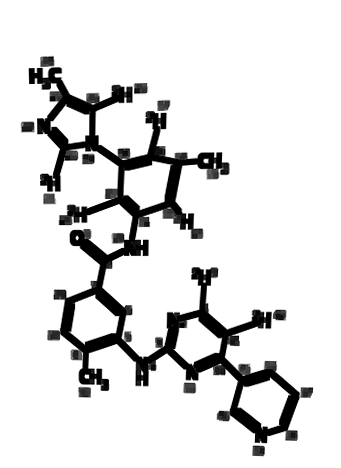 [2H]c1nc(Nc2cc(C(=O)Nc3c([2H])c(C)c([2H])c(-n4c([2H])nc(C)c4[2H])c3[2H])ccc2C)nc(-c2cccnc2)c1[2H]